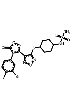 NS(=O)(=O)NC1CCC(Sc2nonc2-c2noc(=O)n2-c2ccc(F)c(Br)c2)CC1